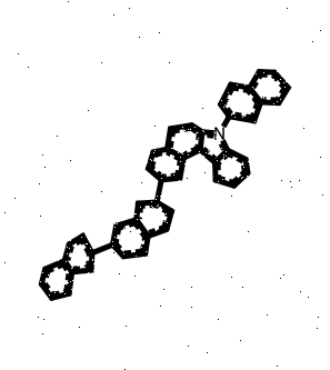 c1ccc2cc(-c3ccc4ccc(-c5ccc6ccc7c(c6c5)c5ccccc5n7-c5ccc6ccccc6c5)cc4c3)ccc2c1